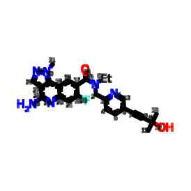 CCN(Cc1ccc(C#CC(C)(C)O)cn1)C(=O)c1cc2c(cc1F)nc(N)c1cnn(C)c12